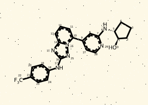 O[C@@H]1CCC[C@H]1Nc1cc(-c2cccc3nc(Nc4ccc(C(F)(F)F)cc4)nn23)ccn1